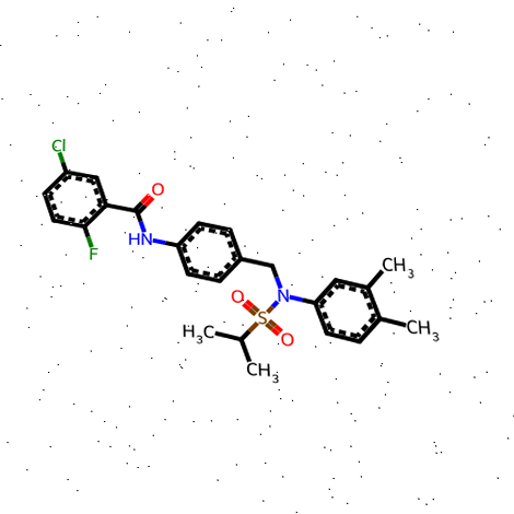 Cc1ccc(N(Cc2ccc(NC(=O)c3cc(Cl)ccc3F)cc2)S(=O)(=O)C(C)C)cc1C